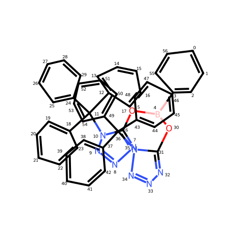 c1ccc(B(Oc2nnnn2C(c2ccccc2)(c2ccccc2)c2ccccc2)Oc2nnnn2C(c2ccccc2)(c2ccccc2)c2ccccc2)cc1